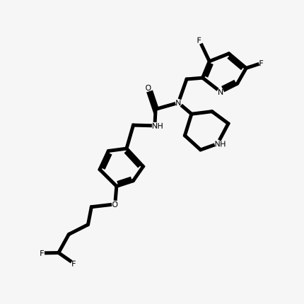 O=C(NCc1ccc(OCCCC(F)F)cc1)N(Cc1ncc(F)cc1F)C1CCNCC1